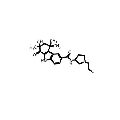 CC1(C)CC(C)(C)c2c([nH]c3ccc(C(=O)NC4CCN(CCF)C4)cc23)C1=O